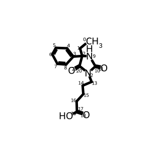 CCC1(c2ccccc2)NC(=O)N(CCCCC(=O)O)C1=O